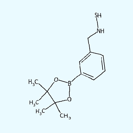 CC1(C)OB(c2cccc(CNS)c2)OC1(C)C